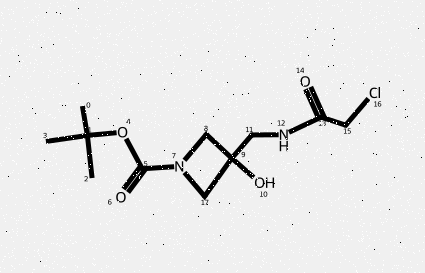 CC(C)(C)OC(=O)N1CC(O)(CNC(=O)CCl)C1